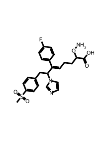 CS(=O)(=O)c1ccc(CC(C(=CCCC(ON)C(=O)O)c2ccc(F)cc2)n2ccnc2)cc1